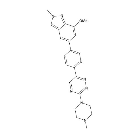 COc1cc(-c2ccc(-c3cnc(N4CCN(C)CC4)nn3)nc2)cc2cn(C)nc12